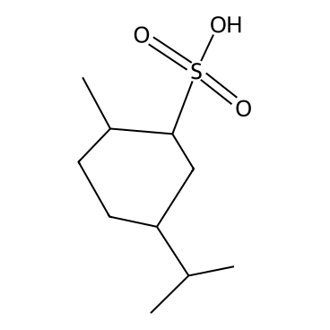 CC(C)C1CCC(C)C(S(=O)(=O)O)C1